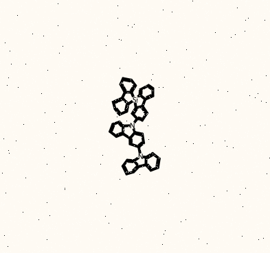 c1ccc2c(c1)-c1ccccc1[Si]21c2ccccc2-c2ccc(-n3c4ccccc4c4cc(-n5c6ccccc6c6ccccc65)ccc43)cc21